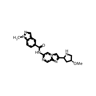 CO[C@@H]1CNC(c2cn3cc(NC(=O)c4ccc5c(cnn5C)c4)ncc3n2)C1